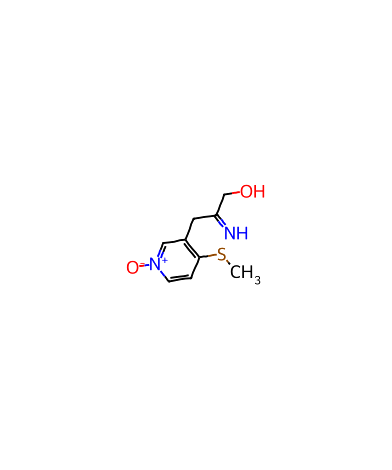 CSc1cc[n+]([O-])cc1CC(=N)CO